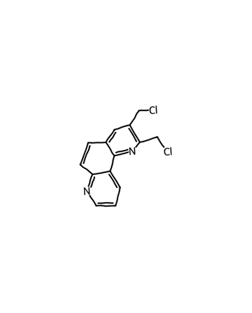 ClCc1cc2ccc3ncccc3c2nc1CCl